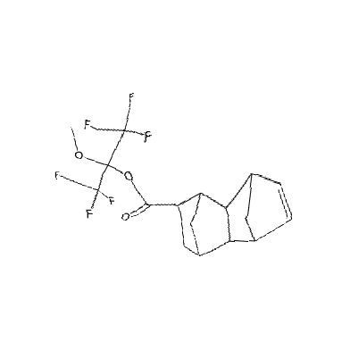 COC(OC(=O)C1CC2CC1C1C3C=CC(C3)C21)(C(F)(F)F)C(F)(F)F